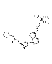 C[Si](C)(C)CCOCn1ccc2c(-c3cnn(CCC(=O)OC4CCCC4)c3)ncnc21